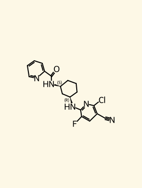 N#Cc1cc(F)c(N[C@@H]2CCC[C@H](NC(=O)c3ccccn3)C2)nc1Cl